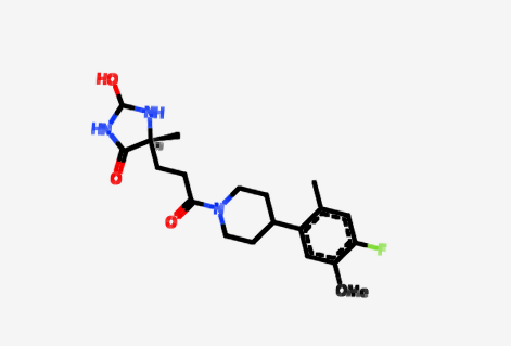 COc1cc(C2CCN(C(=O)CC[C@@]3(C)NC(O)NC3=O)CC2)c(C)cc1F